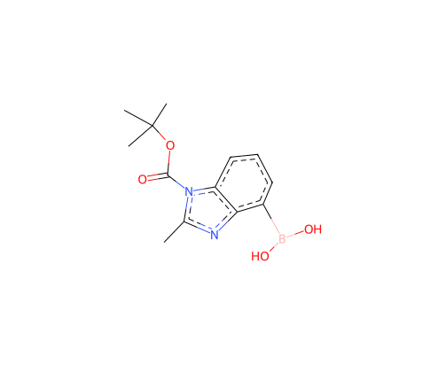 Cc1nc2c(B(O)O)cccc2n1C(=O)OC(C)(C)C